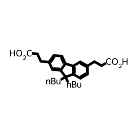 CCCCC1(CCCC)c2ccc(CCC(=O)O)cc2-c2ccc(CCC(=O)O)cc21